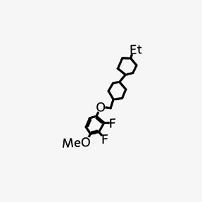 CCC1CCC(C2CCC(COc3ccc(OC)c(F)c3F)CC2)CC1